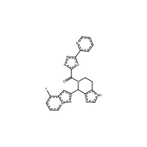 O=C(c1nnc(-c2ccccn2)o1)N1CCc2[nH]cnc2C1c1cc2c(F)cccn2n1